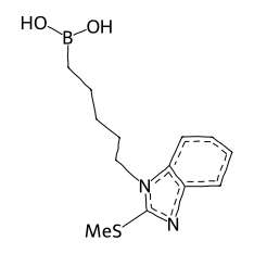 CSc1nc2ccccc2n1CCCCCB(O)O